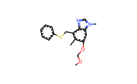 COCOc1cc2c(ncn2C)c(CSc2ccccc2)c1C